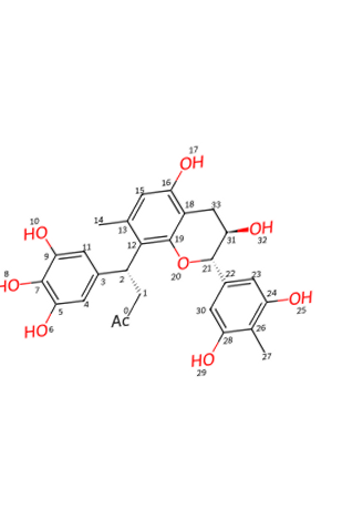 CC(=O)C[C@H](c1cc(O)c(O)c(O)c1)c1c(C)cc(O)c2c1O[C@@H](c1cc(O)c(C)c(O)c1)[C@H](O)C2